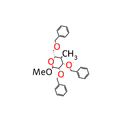 CO[C@H]1O[C@H](COCc2ccccc2)[C@@H](C)[C@H](OCc2ccccc2)[C@@H]1OCc1ccccc1